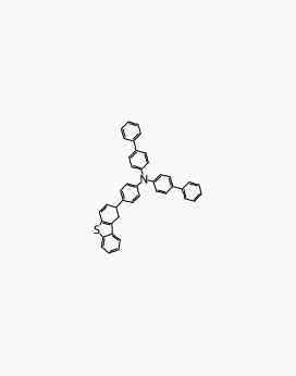 C1=CC(c2ccc(N(c3ccc(-c4ccccc4)cc3)c3ccc(-c4ccccc4)cc3)cc2)Cc2c1sc1ccccc21